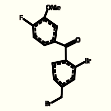 COc1cc(C(=O)c2ccc(CBr)cc2Br)ccc1F